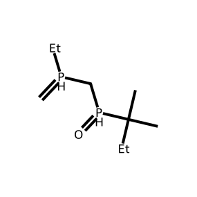 C=[PH](CC)C[PH](=O)C(C)(C)CC